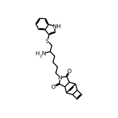 NC(CCCCN1C(=O)C2C3C=CC(C4C=CC43)C2C1=O)CSc1c[nH]c2ccccc12